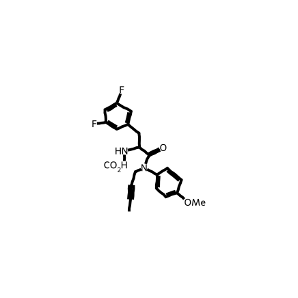 CC#CCN(C(=O)C(Cc1cc(F)cc(F)c1)NC(=O)O)c1ccc(OC)cc1